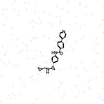 O=C(Nc1ccc([C@@H]2C[C@H]2NCC2CC2)cc1)c1ccc(-c2ccncc2)cc1